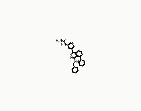 NC(=O)Nc1cncc(-c2nnc(NCc3ccccc3)c3c(-c4ccccc4)cccc23)c1